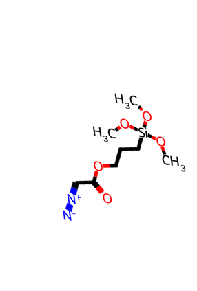 CO[Si](CCCOC(=O)C=[N+]=[N-])(OC)OC